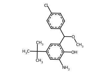 COC(c1ccc(Cl)cc1)c1cc(C(C)(C)C)cc(N)c1O